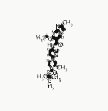 CCOc1nc2nc(C)cn2cc1C(=O)Nc1ccc(N2CCN(C(=O)OC(C)(C)C)[C@@H](C)C2)nn1